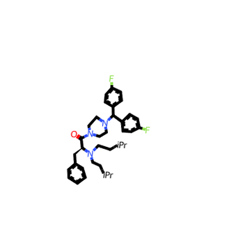 CC(C)CCN(CCC(C)C)[C@@H](Cc1ccccc1)C(=O)N1CCN(C(c2ccc(F)cc2)c2ccc(F)cc2)CC1